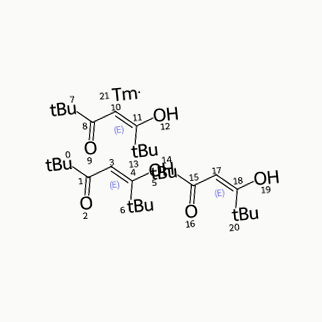 CC(C)(C)C(=O)/C=C(/O)C(C)(C)C.CC(C)(C)C(=O)/C=C(/O)C(C)(C)C.CC(C)(C)C(=O)/C=C(/O)C(C)(C)C.[Tm]